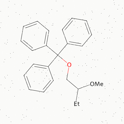 CCC(COC(c1ccccc1)(c1ccccc1)c1ccccc1)OC